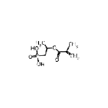 C=C(C)C(=O)O[C](C)CP(=O)(O)O